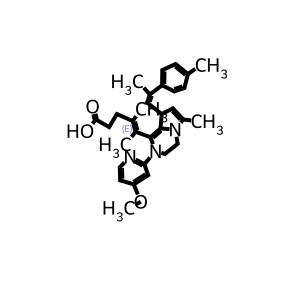 COc1ccnc(N2CCN3C(C)=CC(C=C(C)c4ccc(C)cc4)C3=C2/C(C)=C(\C)CCC(=O)O)c1